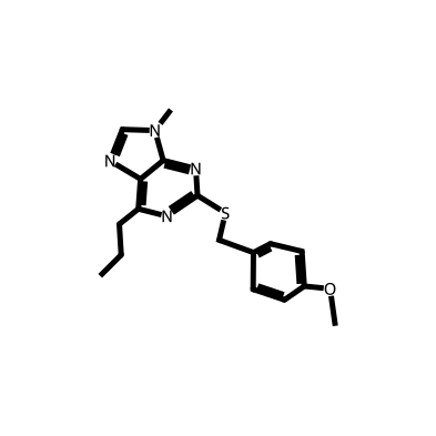 CCCc1nc(SCc2ccc(OC)cc2)nc2c1ncn2C